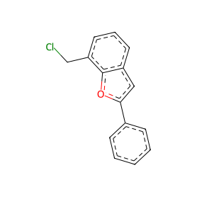 ClCc1cccc2cc(-c3ccccc3)oc12